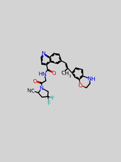 CC(=Cc1ccc2nccc(C(=O)NCC(=O)N3CC(F)(F)CC3C#N)c2c1)c1ccc2c(c1)OCCN2